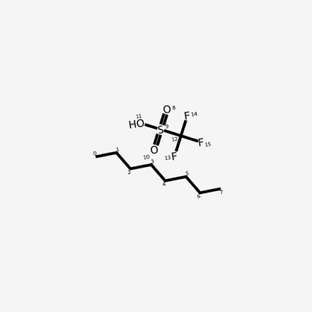 CCCCCCCC.O=S(=O)(O)C(F)(F)F